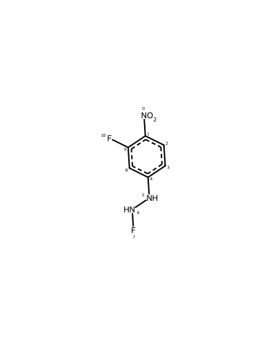 O=[N+]([O-])c1ccc(NNF)cc1F